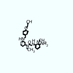 C#CCOc1ccc(CNC2CCCC(N(CC)C(=O)CNc3cccc(N)c3N=C)C2)cc1